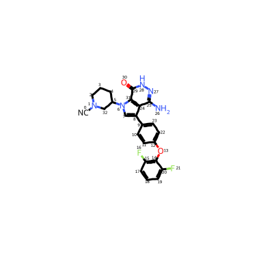 N#CN1CCCC(n2cc(-c3ccc(Oc4c(F)cccc4F)cc3)c3c(N)n[nH]c(=O)c32)C1